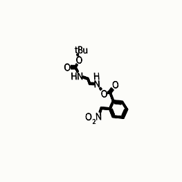 CC(C)(C)OC(=O)NCCNOC(=O)c1ccccc1C[N+](=O)[O-]